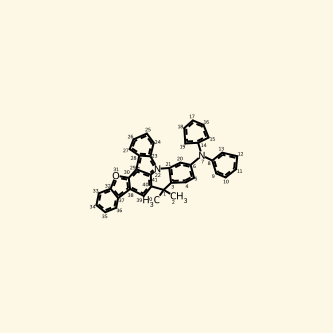 CC1(C)c2ccc(N(c3ccccc3)c3ccccc3)cc2-n2c3ccccc3c3c4oc5ccccc5c4cc1c32